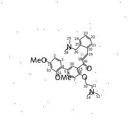 COc1ccc(-c2ccc(OCCN(C)C)c(C(=O)/C=C/c3ccccc3CN(C)C)c2)c(OC)c1